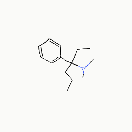 CCCC(CC)(c1ccccc1)N(C)C